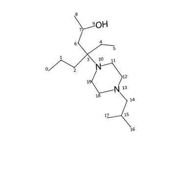 CCCC(CC)(CC(C)O)N1CCN(CC(C)C)CC1